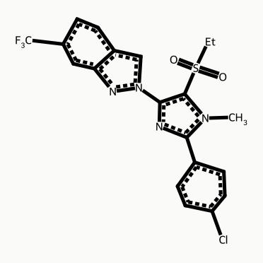 CCS(=O)(=O)c1c(-n2cc3ccc(C(F)(F)F)cc3n2)nc(-c2ccc(Cl)cc2)n1C